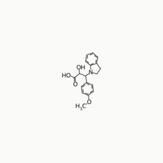 COc1ccc(C(C(O)C(=O)O)N2CCc3ccccc32)cc1